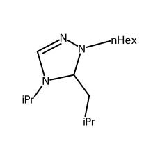 CCCCCCN1N=CN(C(C)C)C1CC(C)C